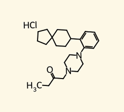 CCC(=O)CN1CCN(c2ccccc2C2CCC3(CCCC3)CC2)CC1.Cl